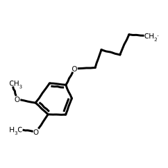 [CH2]CCCCOc1ccc(OC)c(OC)c1